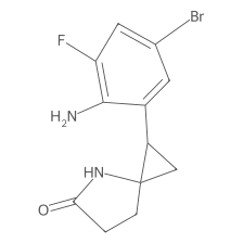 Nc1c(F)cc(Br)cc1C1CC12CCC(=O)N2